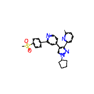 Cc1cccc(-c2nn(C3CCCC3)cc2-c2ccnc(-c3ccc(S(C)(=O)=O)cc3)c2)n1